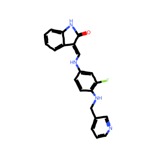 O=C1Nc2ccccc2/C1=C\Nc1ccc(NCc2cccnc2)c(F)c1